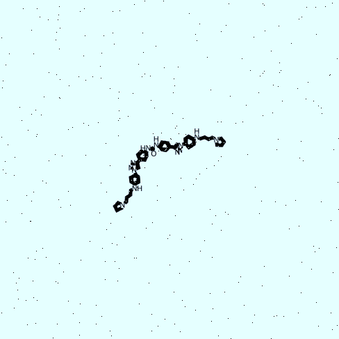 O=C(Nc1ccc(-c2cn(-c3ccc(NCCCCN4CCCC4)cc3)nn2)cc1)Nc1ccc(-c2cn(-c3ccc(NCCCCN4CCCC4)cc3)nn2)cc1